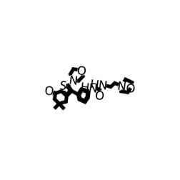 CC1(C)CC(=O)c2sc(N3CCOCC3)c(-c3cccc(NC(=O)NCCN4CCOCC4)c3)c2C1